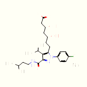 CC(C)CCNC(=O)c1nn(-c2ccc(F)cc2)c(CC[C@@H](O)C[C@@H](O)CC(=O)[O-])c1C(C)C.[Na+]